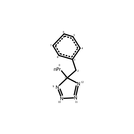 CCCC1(Cc2ccccc2)N=NN=N1